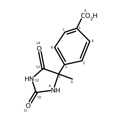 CC1(c2ccc(C(=O)O)cc2)NC(=O)NC1=O